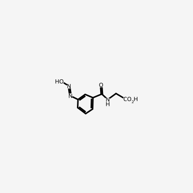 O=C(O)CNC(=O)c1cccc(N=NO)c1